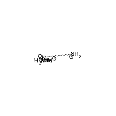 COc1ccccc1N(CCCCCC(=O)CCCCCCCCCC(N)=O)C(=N)N